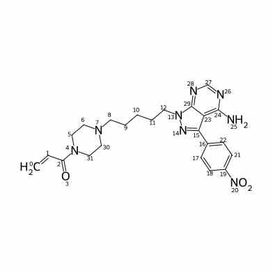 C=CC(=O)N1CCN(CCCCCn2nc(-c3ccc([N+](=O)[O-])cc3)c3c(N)ncnc32)CC1